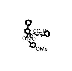 COc1ccc(CN(C(=O)N[C@@H](CSCc2ccccc2)C(=O)O)C(=O)c2ccc(-c3ccccc3)cc2)cc1